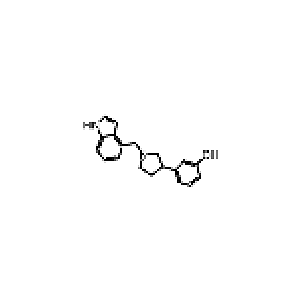 Oc1cccc(C2CCN(Cc3cccc4[nH]ccc34)C2)c1